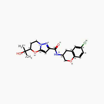 CC(C)(O)C1CCn2nc(C(=O)NC3COc4ccc(Cl)cc4C3)cc2O1